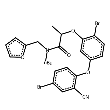 CCCCN(Cc1ccco1)C(=O)C(C)Oc1cc(Oc2ccc(Br)cc2C#N)ccc1Br